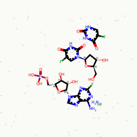 F.N.Nc1nc(F)nc2c1ncn2[C@@H]1O[C@H](COP(=O)(O)O)[C@@H](O)[C@@H]1O.O=c1[nH]c(=O)n([C@H]2C[C@H](O)[C@@H](CO)O2)cc1F.O=c1[nH]cc(F)c(=O)[nH]1